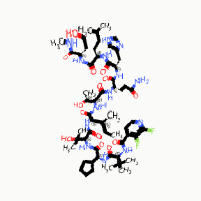 CC[C@H](C)[C@H](NC(=O)[C@@H](NC(=O)[C@@H](NC(=O)[C@@H](NC(=O)c1ccnc(F)c1F)C(C)(C)C)C1CCCC1)C(C)(C)O)C(=O)N[C@H](C(=O)N[C@@H](CCC(N)=O)C(=O)N[C@@H](Cc1c[nH]cn1)C(=O)N[C@H](CCC(C)C)C(=O)N[C@@H](CCO)C(=O)NC)[C@@H](C)O